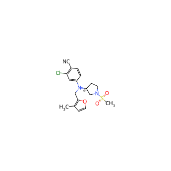 Cc1ccoc1CN(c1ccc(C#N)c(Cl)c1)[C@H]1CCN(S(C)(=O)=O)C1